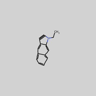 CCn1c#cc2cc3ccccc3cc21